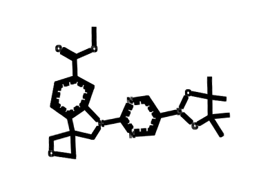 COC(=O)c1ccc2c(c1)N(c1ncc(B3OC(C)(C)C(C)(C)O3)cn1)CC21COC1